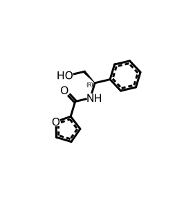 O=C(N[C@@H](CO)c1ccccc1)c1ccco1